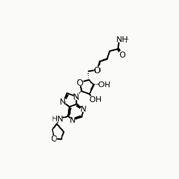 [NH]C(=O)CCCOC[C@H]1O[C@@H](n2cnc3c(N[C@@H]4CCOC4)ncnc32)[C@H](O)[C@H]1O